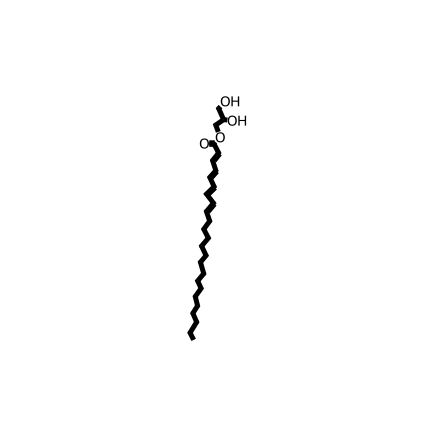 CCCCCCCCCCCCCCCC=CC=CC=CC=CC(=O)OCC(O)CO